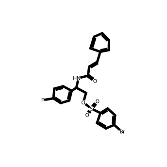 O=C(/C=C/c1ccccc1)NC(COS(=O)(=O)c1ccc(Br)cc1)c1ccc(F)cc1